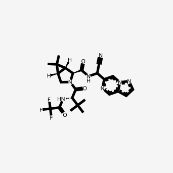 CC(C)(C)[C@H](NC(=O)C(F)(F)F)C(=O)N1C[C@H]2[C@@H]([C@H]1C(=O)NC(C#N)c1cn3nccc3cn1)C2(C)C